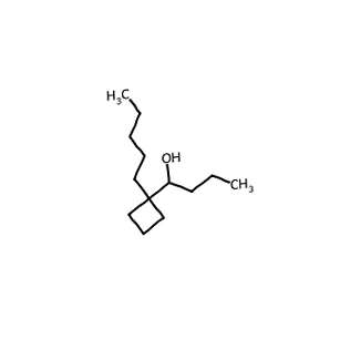 CCCCCC1(C(O)CCC)CCC1